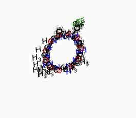 CC[C@H](C)[C@@H]1NC(=O)[C@H](CC(C)C)N(C)C(=O)CC(C)NC(=O)[C@H](C(C)C)N(C)C(=O)C2(CCCC2)NC(=O)[C@H]2CCCN(C2)C(=O)[C@H](CCc2ccc(C(F)(F)F)c(Cl)c2)NC(=O)CN(C)C(=O)[C@H](CC2CCCCC2)N(C)C(=O)CN(C)C(=O)CN(CC)C1=O